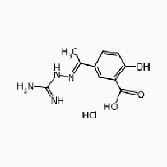 CC(=NNC(=N)N)c1ccc(O)c(C(=O)O)c1.Cl